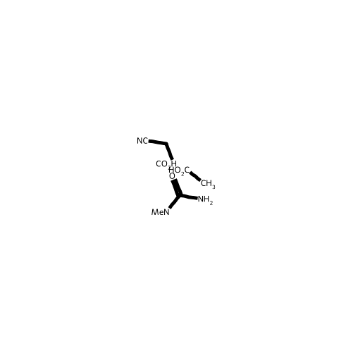 CC(=O)O.CNC(N)=O.N#CCC(=O)O